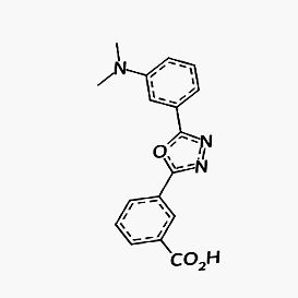 CN(C)c1cccc(-c2nnc(-c3cccc(C(=O)O)c3)o2)c1